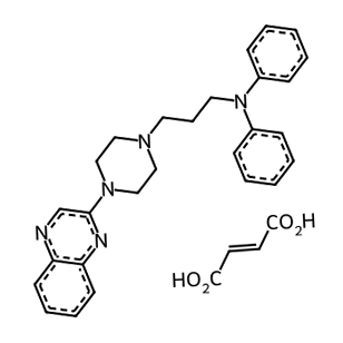 O=C(O)/C=C/C(=O)O.c1ccc(N(CCCN2CCN(c3cnc4ccccc4n3)CC2)c2ccccc2)cc1